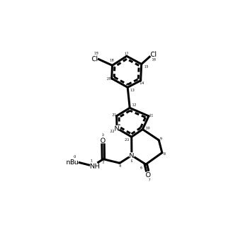 CCCCNC(=O)CN1C(=O)CCc2cc(-c3cc(Cl)cc(Cl)c3)cnc21